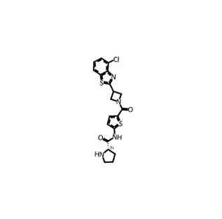 O=C(Nc1ccc(C(=O)N2CC(c3nc4c(Cl)cccc4s3)C2)s1)[C@@H]1CCCN1